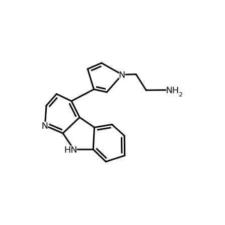 NCCn1ccc(-c2ccnc3[nH]c4ccccc4c23)c1